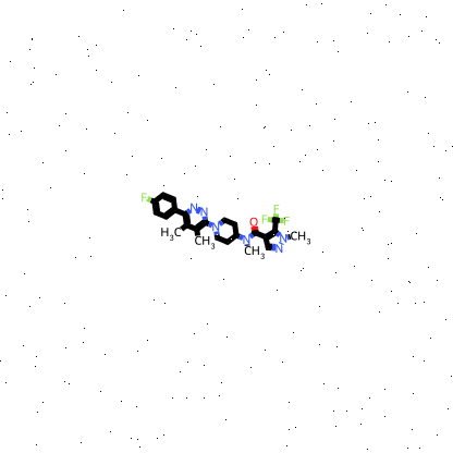 Cc1c(-c2ccc(F)cc2)nnc(N2CCC(N(C)C(=O)c3cnn(C)c3C(F)(F)F)CC2)c1C